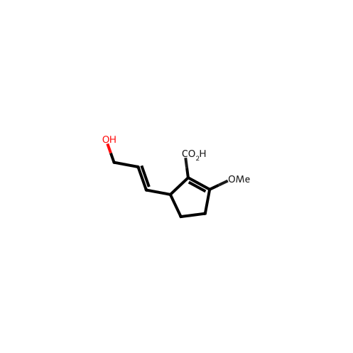 COC1=C(C(=O)O)C(/C=C/CO)CC1